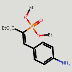 CCOC(=O)C(=Cc1ccc(N)cc1)P(=O)(OCC)OCC